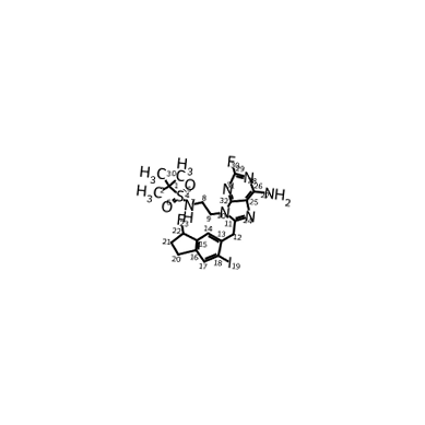 CC(C)(C)S(=O)(=O)NCCn1c(Cc2cc3c(cc2I)CCC3F)nc2c(N)nc(F)nc21